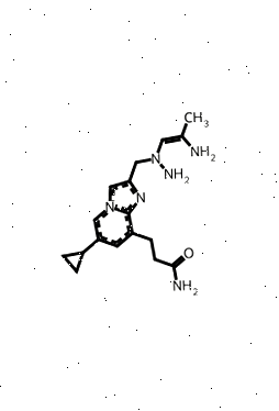 C/C(N)=C/N(N)Cc1cn2cc(C3CC3)cc(CCC(N)=O)c2n1